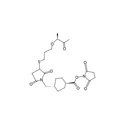 CC(=O)[C@H](C)OCCCSC1CC(=O)N(C[C@H]2CC[C@H](C(=O)ON3C(=O)CCC3=O)CC2)C1=O